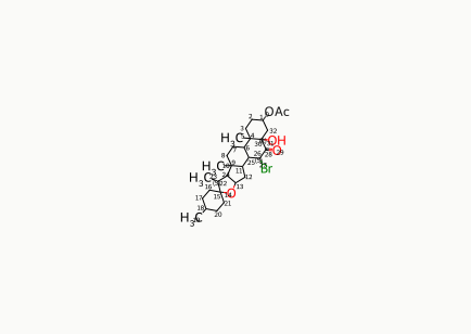 CC(=O)OC1CCC2(C)C3CCC4(C)C(CC5OC6(CCC(C)CC6)[C@@H](C)C54)C3[C@H](Br)C(=O)[C@@]2(O)C1